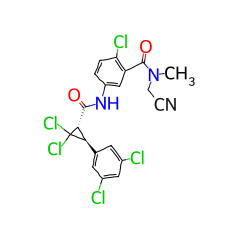 CN(CC#N)C(=O)c1cc(NC(=O)[C@@H]2[C@@H](c3cc(Cl)cc(Cl)c3)C2(Cl)Cl)ccc1Cl